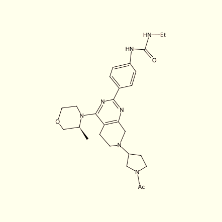 CCNC(=O)Nc1ccc(-c2nc3c(c(N4CCOC[C@@H]4C)n2)CCN(C2CCN(C(C)=O)C2)C3)cc1